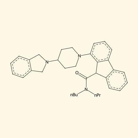 CCCCN(CCC)C(=O)C1c2ccccc2-c2cccc(N3CCC(N4Cc5ccccc5C4)CC3)c21